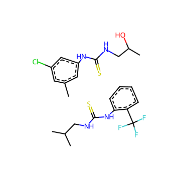 CC(C)CNC(=S)Nc1ccccc1C(F)(F)F.Cc1cc(Cl)cc(NC(=S)NCC(C)O)c1